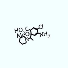 COC1(C(C)N2CCCCC2)C=C(N)C(Cl)=CC1C(=O)O